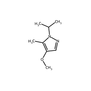 COc1cnn(C(C)C)c1C